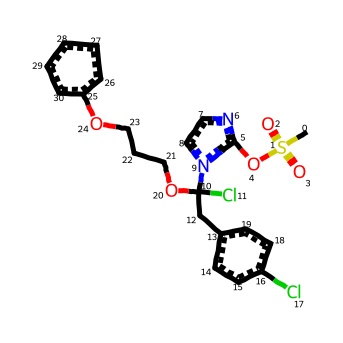 CS(=O)(=O)Oc1nccn1C(Cl)(Cc1ccc(Cl)cc1)OCCCOc1ccccc1